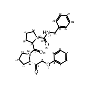 O=C(COc1ccccc1)[C@@H]1CCCN1C(=O)C1CCCN1C(=O)NCc1ccccc1